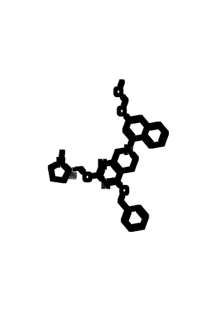 COCOc1cc(N2CCc3c(nc(OC[C@@H]4CCCN4C)nc3OCc3ccccc3)C2)c2ccccc2c1